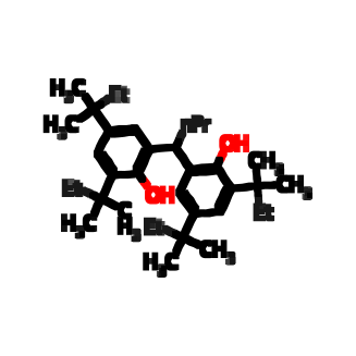 CCCC(c1cc(C(C)(C)CC)cc(C(C)(C)CC)c1O)c1cc(C(C)(C)CC)cc(C(C)(C)CC)c1O